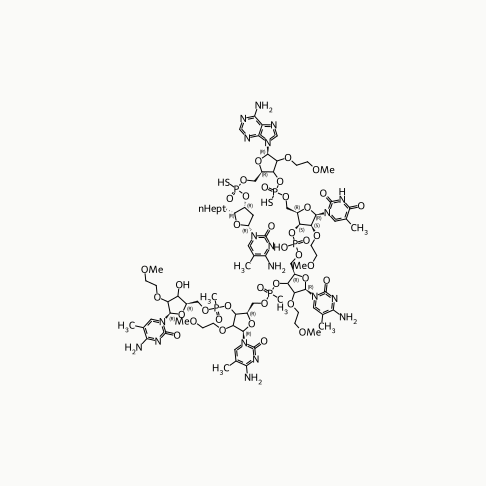 CCCCCCC[C@H]1O[C@@H](n2cc(C)c(N)nc2=O)C[C@H]1OP(=O)(S)OC[C@H]1O[C@@H](n2cnc3c(N)ncnc32)C(OCCOC)C1OP(=O)(S)OC[C@H]1O[C@@H](n2cc(C)c(=O)[nH]c2=O)[C@@H](OCCOC)[C@H]1OP(=O)(O)OC[C@H]1O[C@@H](n2cc(C)c(N)nc2=O)C(OCCOC)C1OP(C)(=O)OC[C@H]1O[C@@H](n2cc(C)c(N)nc2=O)C(OCCOC)C1OP(C)(=O)OC[C@H]1O[C@@H](n2cc(C)c(N)nc2=O)C(OCCOC)C1O